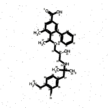 Cc1cc(C(=O)O)cc(-c2ccccc2)c1C(C)OC[C@H](O)CNC(C)(C)Cc1ccc(CN)c(F)c1